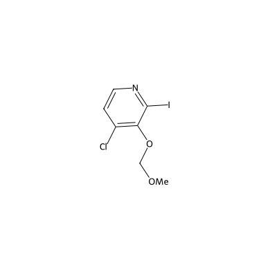 COCOc1c(Cl)ccnc1I